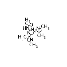 CC(=O)Nc1nc(-n2nc(C)cc2C)cc(-n2nc(C)cc2C)n1